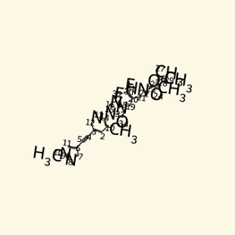 Cc1cc(C#Cc2cnn(C)c2)cnc1-n1cnn(CC(CNC(=O)OC(C)(C)C)=C(F)F)c1=O